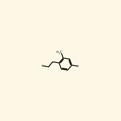 Cc1cc(F)ccc1CCI